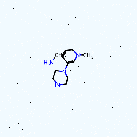 CN1C=C(N2CCNCC2)C=CC1.NC=O